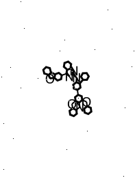 c1ccc2c(c1)Oc1cc(-c3ccc4c(c3)c3ccccc3n4-c3nc(-c4ccc5oc6ccccc6c5c4)c4ccccc4n3)cc3c1N2c1ccccc1O3